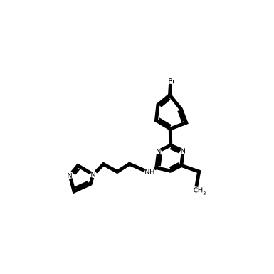 CCc1cc(NCCCn2ccnc2)nc(-c2ccc(Br)cc2)n1